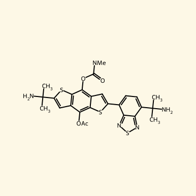 CNC(=O)Oc1c2cc(-c3ccc(C(C)(C)N)c4nsnc34)sc2c(OC(C)=O)c2cc(C(C)(C)N)sc12